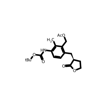 CC(=O)OCc1c(C[C@H]2CCOC2=O)ccc(NC(=O)OC(C)(C)C)c1C